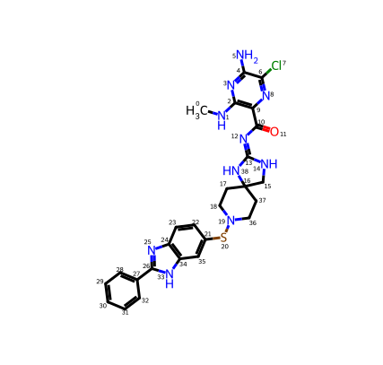 CNc1nc(N)c(Cl)nc1C(=O)/N=C1\NCC2(CCN(Sc3ccc4nc(-c5ccccc5)[nH]c4c3)CC2)N1